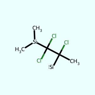 C[Si](C)C(Cl)(Cl)C(C)([Si])Cl